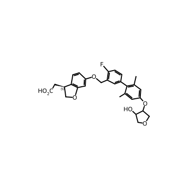 Cc1cc(OC2COCC2O)cc(C)c1-c1ccc(F)c(COc2ccc3c(c2)OC[C@H]3CC(=O)O)c1